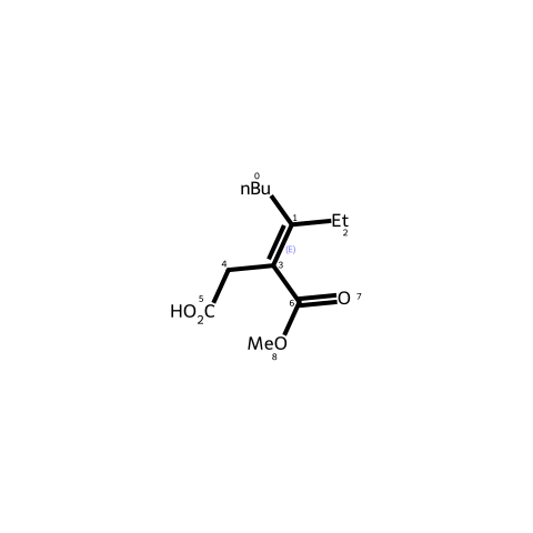 CCCC/C(CC)=C(\CC(=O)O)C(=O)OC